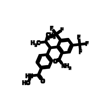 CC(C)C(c1ccc(C(=O)NO)cc1)c1c(C(N)=O)cc(C(F)(F)F)cc1C(F)(F)F